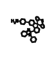 Nc1ccc(-c2ccc3c(c2)-c2c(-c4nc5ccccc5n4-c4ccccc4)cccc2C32c3ccccc3Sc3ccccc32)cc1